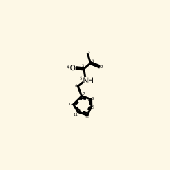 C=C(C)C(=O)NCc1[c]cccc1